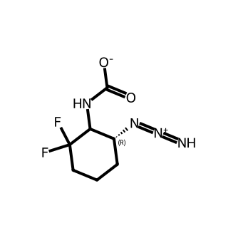 N=[N+]=N[C@@H]1CCCC(F)(F)C1NC(=O)[O-]